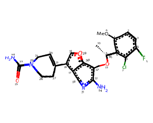 COc1ccc(F)c(Cl)c1[C@@H](C)Oc1c(N)ncc2c(C3=CCN(C(N)=O)CC3)coc12